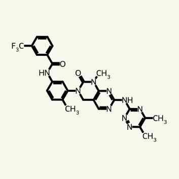 Cc1ccc(NC(=O)c2cccc(C(F)(F)F)c2)cc1N1Cc2cnc(Nc3nnc(C)c(C)n3)nc2N(C)C1=O